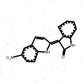 O=C1Nc2ccccc2C1=C1C=Cc2cc([N+](=O)[O-])ccc2N1